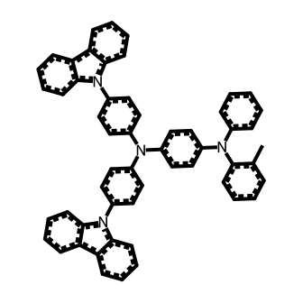 Cc1ccccc1N(c1ccccc1)c1ccc(N(c2ccc(-n3c4ccccc4c4ccccc43)cc2)c2ccc(-n3c4ccccc4c4ccccc43)cc2)cc1